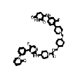 O=C1CCC(Nc2ccc(C3CCN(C[C@H]4CC[C@H](COC(=O)N5CCC(Nc6ncc(F)c(-c7cccc(-n8ccccc8=O)c7)n6)CC5)CC4)CC3)c(F)c2)C(=O)N1